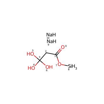 O=C(CC(O)(O)O)O[SiH3].[NaH].[NaH]